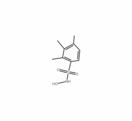 Cc1ccc(S(=O)(=O)NO)c(C)c1C